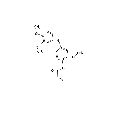 COc1ccc(Sc2ccc(OC(C)=O)c(OC)c2)cc1OC